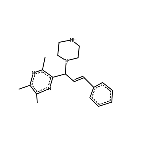 Cc1nc(C)c(C(C=Cc2ccccc2)N2CCNCC2)nc1C